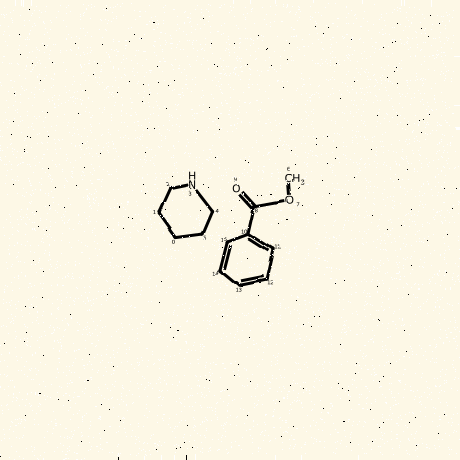 C1CCNCC1.COC(=O)c1ccccc1